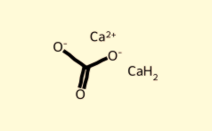 O=C([O-])[O-].[Ca+2].[CaH2]